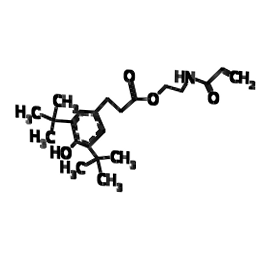 C=CC(=O)NCCOC(=O)CCc1cc(C(C)(C)C)c(O)c(C(C)(C)C)c1